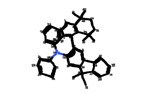 CC(C)c1ccc2c(c1-c1cc3c(cc1N(c1ccccc1)c1ccccc1)C(C)(C)c1ccccc1-3)C(C)(C)CCC2(C)C